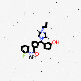 C=CCN1C[C@H](C)N([C@@H](c2cccc(O)c2)c2cccc(C(=O)N(CCC)c3ccccc3F)c2)C[C@H]1C